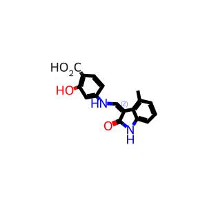 Cc1cccc2c1/C(=C/Nc1ccc(C(=O)O)c(O)c1)C(=O)N2